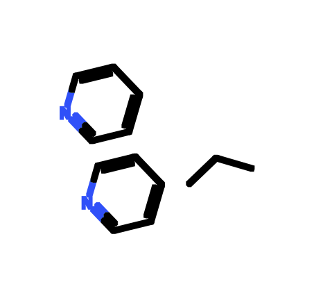 CCC.c1ccncc1.c1ccncc1